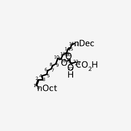 CCCCCCCC/C=C\CCCCCCCCC(CCCCCCCCCCCCCCC)OC(=O)C(O)CC(=O)O